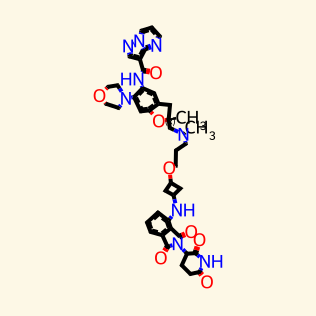 CN(CCCOC1CC(Nc2cccc3c2C(=O)N(C2CCC(=O)NC2=O)C3=O)C1)C[C@@]1(C)Cc2cc(NC(=O)c3cnn4cccnc34)c(N3CCOCC3)cc2O1